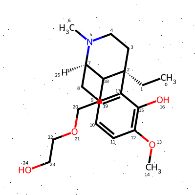 CC[C@]12CCN(C)[C@H](Cc3ccc(OC)c(O)c31)C2CCOCCO